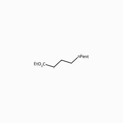 CCCCCCC[CH]C(=O)OCC